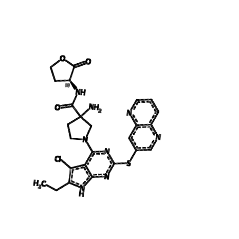 CCc1[nH]c2nc(Sc3cnc4cccnc4c3)nc(N3CCC(N)(C(=O)N[C@H]4CCOC4=O)C3)c2c1Cl